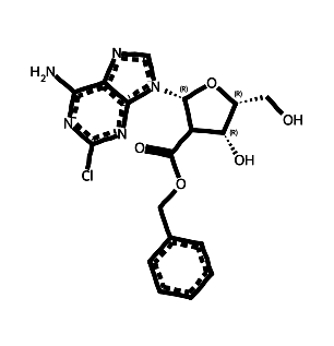 Nc1nc(Cl)nc2c1ncn2[C@@H]1O[C@H](CO)[C@H](O)C1C(=O)OCc1ccccc1